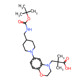 CC(C)(C)OC(=O)NCC1CCN(c2ccc3c(c2)N(CC(C)(C)C(=O)O)CCO3)CC1